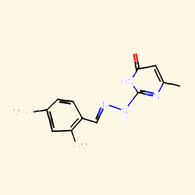 COc1ccc(/C=N/Nc2nc(C)cc(=O)[nH]2)c(OC)c1